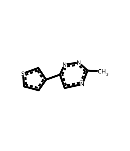 Cc1ncc(-c2ccsc2)nn1